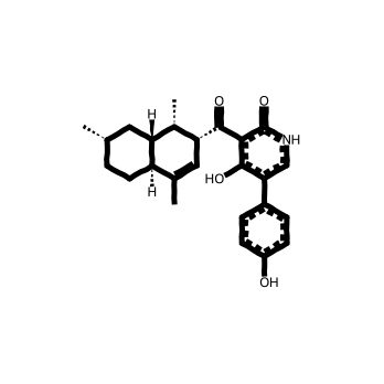 CC1=C[C@@H](C(=O)c2c(O)c(-c3ccc(O)cc3)c[nH]c2=O)[C@@H](C)[C@H]2C[C@@H](C)CC[C@H]12